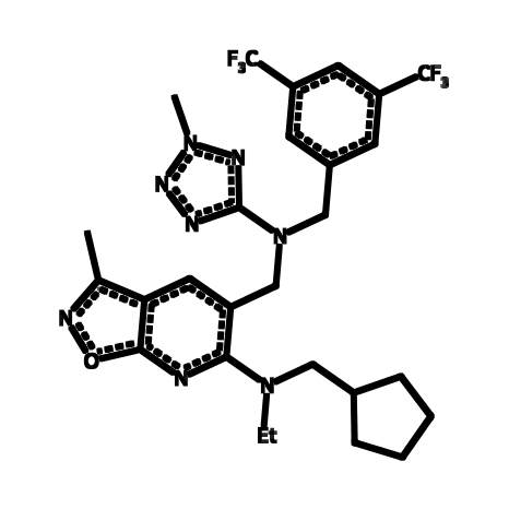 CCN(CC1CCCC1)c1nc2onc(C)c2cc1CN(Cc1cc(C(F)(F)F)cc(C(F)(F)F)c1)c1nnn(C)n1